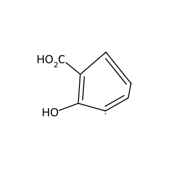 O=C(O)c1ccc[c]c1O